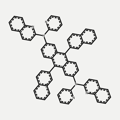 c1ccc(N(c2ccc3c(-c4ccc5ccccc5c4)c4cc(N(c5ccccn5)c5ccc6ccccc6n5)ccc4c(-c4ccc5ccccc5c4)c3c2)c2ccc3ccccc3n2)nc1